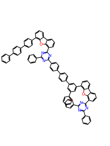 c1ccc(-c2ccc(-c3ccc(-c4cccc5c4oc4c(-c6nc(-c7ccccc7)nc(-c7ccc(-c8ccc(-c9cc(-c%10ccccc%10)cc(-c%10cccc%11c%10oc%10c(-c%12nc(-c%13ccccc%13)nc(-c%13ccccc%13)n%12)cccc%10%11)c9)cc8)cc7)n6)cccc45)cc3)cc2)cc1